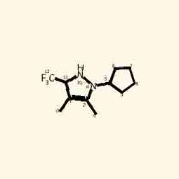 CC1=C(C)N(C2CCCC2)NC1C(F)(F)F